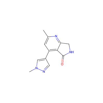 Cc1cc(-c2cnn(C)c2)c2c(n1)CNC2=O